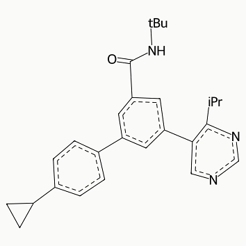 CC(C)c1ncncc1-c1cc(C(=O)NC(C)(C)C)cc(-c2ccc(C3CC3)cc2)c1